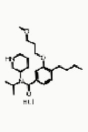 CCCCc1ccc(C(=O)N(C(C)C)[C@@H]2CCCNC2)cc1OCCCOC.Cl